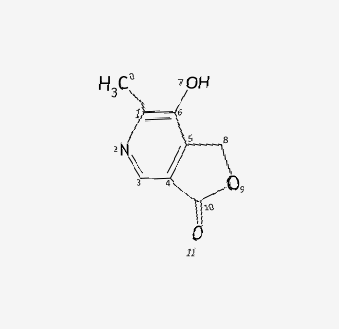 Cc1ncc2c(c1O)COC2=O